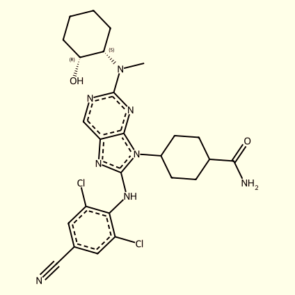 CN(c1ncc2nc(Nc3c(Cl)cc(C#N)cc3Cl)n(C3CCC(C(N)=O)CC3)c2n1)[C@H]1CCCC[C@H]1O